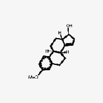 COc1ccc2c(c1)CC[C@H]1C3=CC[C@H](O)[C@H]3CC[C@H]21